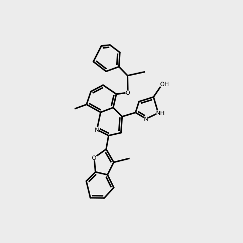 Cc1c(-c2cc(-c3cc(O)[nH]n3)c3c(OC(C)c4ccccc4)ccc(C)c3n2)oc2ccccc12